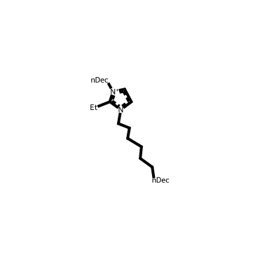 CCCCCCCCCCCCCCCCn1cc[n+](CCCCCCCCCC)c1CC